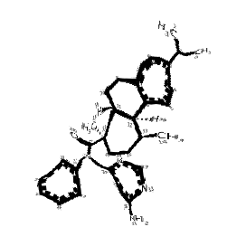 CC(C)c1ccc2c(c1)CC[C@@H]1[C@@H]2[C@@H](C)CC[C@@]1(C)C(=O)N(c1ccccc1)c1cc(N)ncn1